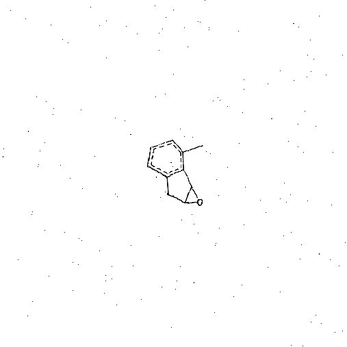 Cc1cccc2c1C1OC1C2